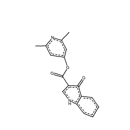 Cc1cc(OC(=O)c2c[nH]c3ccccc3c2=O)cc(C)n1